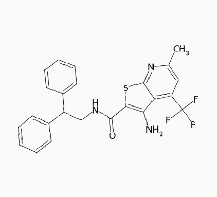 Cc1cc(C(F)(F)F)c2c(N)c(C(=O)NCC(c3ccccc3)c3ccccc3)sc2n1